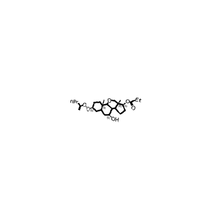 C=C(CCC)OO[C@H]1CC[C@@]2(C)C(C1)C[C@H](O)C1C2OC[C@@]2(C)C1CC[C@@H]2OC(=O)CC